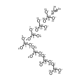 O=[N+]([O-])[O-].O=[N+]([O-])[O-].O=[N+]([O-])[O-].O=[N+]([O-])[O-].O=[N+]([O-])[O-].O=[N+]([O-])[O-].O=[N+]([O-])[O-].[La+3].[Ti+4]